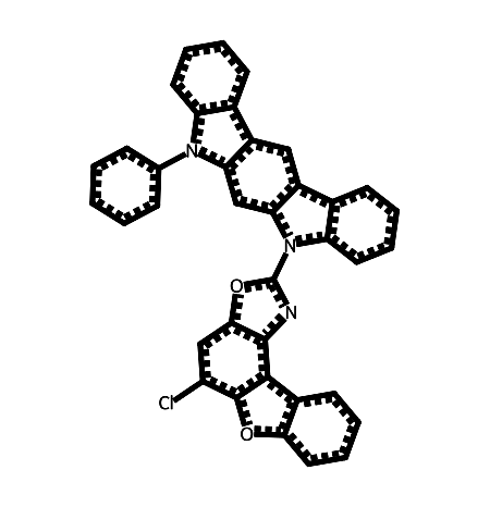 Clc1cc2oc(-n3c4ccccc4c4cc5c6ccccc6n(-c6ccccc6)c5cc43)nc2c2c1oc1ccccc12